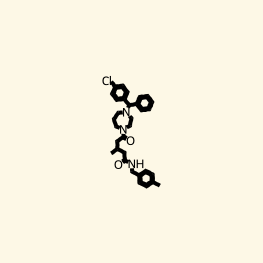 Cc1ccc(CNC(=O)CC(C)CC(=O)N2CCCN(C(c3ccccc3)c3ccc(Cl)cc3)CC2)cc1